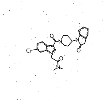 CN(C)C(=O)Cn1cc(C(=O)N2CCC(N3C(=O)Cc4ccccc43)CC2)c2ccc(Cl)cc21